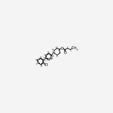 CCCC(=O)OC1CCN(c2ccc(-c3ccccc3Cl)nn2)CC1